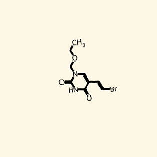 CCOCn1cc(C=CBr)c(=O)[nH]c1=O